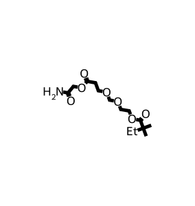 CCC(C)(C)C(=O)OCCOCOCCC(=O)OCC(N)=O